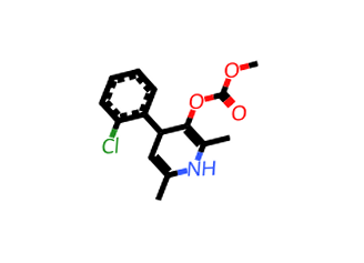 COC(=O)OC1=C(C)NC(C)=CC1c1ccccc1Cl